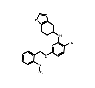 N#Cc1cnc(NCc2ccccc2OC(F)(F)F)nc1NC1CCc2[nH]cnc2C1